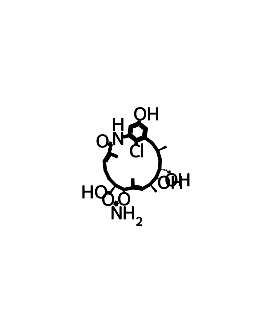 C/C1=C\CC[C@H](CO)[C@@H](OC(N)=O)/C(C)=C/[C@H](C)[C@@H](O)[C@@H](CO)C[C@H](C)Cc2cc(O)cc(c2Cl)NC1=O